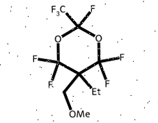 CCC1(COC)C(F)(F)OC(F)(C(F)(F)F)OC1(F)F